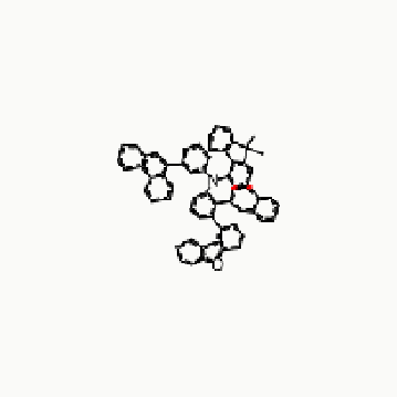 CC1(C)c2ccccc2-c2c(N(c3cccc(-c4cc5ccccc5c5ccccc45)c3)c3cccc(-c4cccc5oc6ccccc6c45)c3-c3ccc4ccccc4c3)cccc21